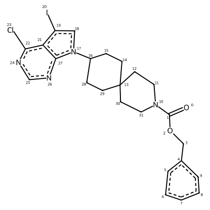 O=C(OCc1ccccc1)N1CCC2(CCC(n3cc(I)c4c(Cl)ncnc43)CC2)CC1